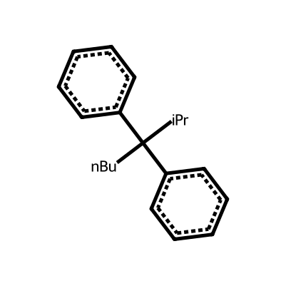 CCCCC(c1ccccc1)(c1ccccc1)C(C)C